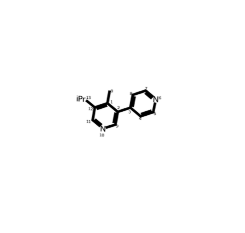 Cc1c(-c2ccncc2)cncc1C(C)C